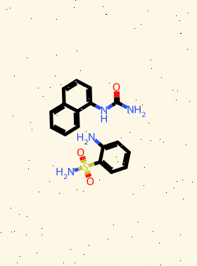 NC(=O)Nc1cccc2ccccc12.Nc1ccccc1S(N)(=O)=O